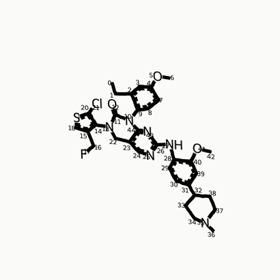 CCc1cc(OC)ccc1N1C(=O)N(c2c(CF)csc2Cl)Cc2cnc(Nc3ccc(C4CCN(C)CC4)cc3OC)nc21